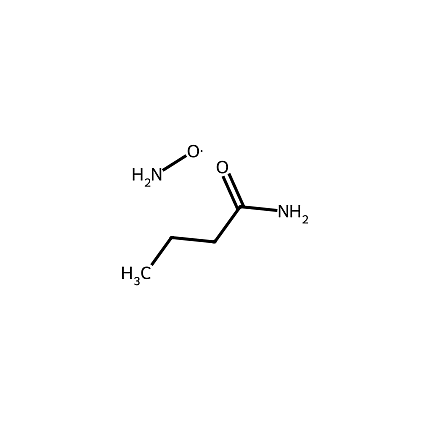 CCCC(N)=O.N[O]